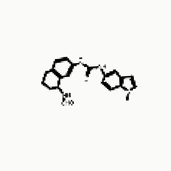 Cn1ccc2cc(NC(=O)Nc3ccc4c(c3)C(NC=O)CCC4)ccc21